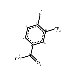 CCCC(=O)c1ccc(F)c(C(F)(F)F)c1